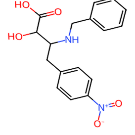 O=C(O)C(O)C(Cc1ccc([N+](=O)[O-])cc1)NCc1ccccc1